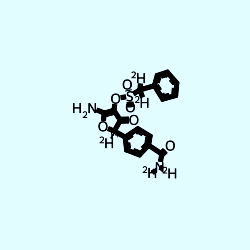 [2H]N([2H])C(=O)c1ccc([C@@]2([2H])OC(N)=C(OS(=O)(=O)C([2H])([2H])c3ccccc3)C2=O)cc1